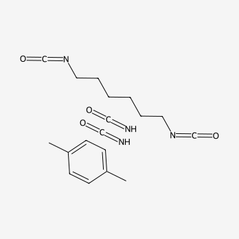 Cc1ccc(C)cc1.N=C=O.N=C=O.O=C=NCCCCCCN=C=O